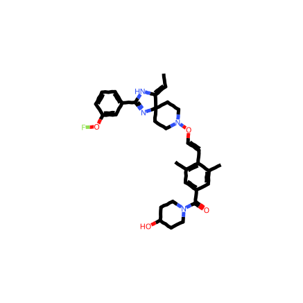 CC=C1NC(c2cccc(OF)c2)=NC12CCN(O/C=C/c1c(C)cc(C(=O)N3CCC(O)CC3)cc1C)CC2